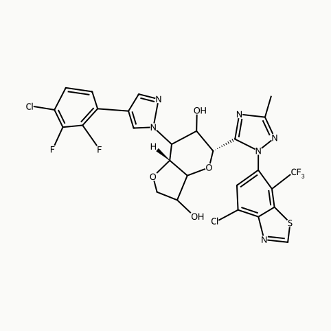 Cc1nc([C@@H]2OC3C(O)CO[C@@H]3C(n3cc(-c4ccc(Cl)c(F)c4F)cn3)C2O)n(-c2cc(Cl)c3ncsc3c2C(F)(F)F)n1